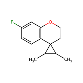 CC1C(C)C12CCOc1cc(F)ccc12